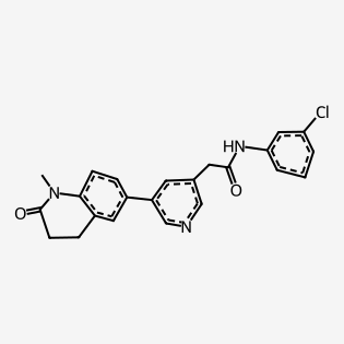 CN1C(=O)CCc2cc(-c3cncc(CC(=O)Nc4cccc(Cl)c4)c3)ccc21